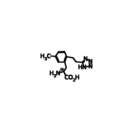 Cc1ccc(CCc2nnn[nH]2)c(C[C@H](N)C(=O)O)c1